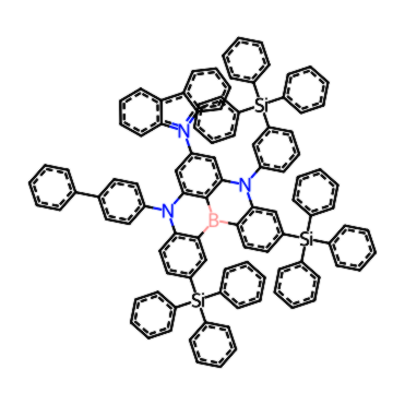 c1ccc(-c2ccc(N3c4ccc([Si](c5ccccc5)(c5ccccc5)c5ccccc5)cc4B4c5ccc([Si](c6ccccc6)(c6ccccc6)c6ccccc6)cc5N(c5cccc([Si](c6ccccc6)(c6ccccc6)c6ccccc6)c5)c5cc(-n6c7ccccc7c7ccccc76)cc3c54)cc2)cc1